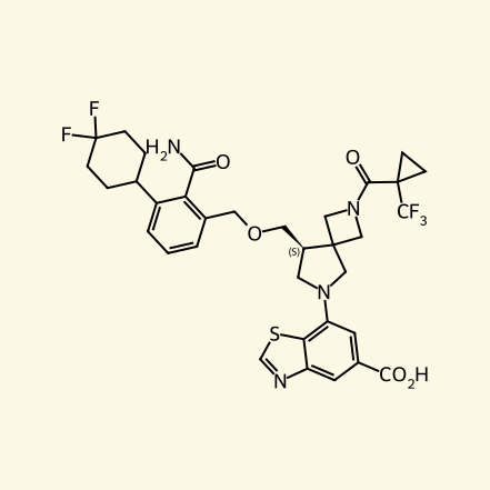 NC(=O)c1c(COC[C@@H]2CN(c3cc(C(=O)O)cc4ncsc34)CC23CN(C(=O)C2(C(F)(F)F)CC2)C3)cccc1C1CCC(F)(F)CC1